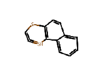 C1=CSc2ccc3ccccc3c2[SH]=1